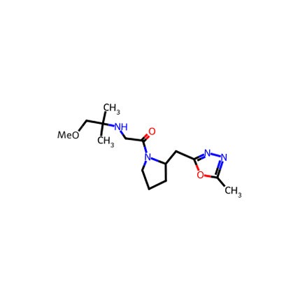 COCC(C)(C)NCC(=O)N1CCCC1Cc1nnc(C)o1